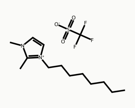 CCCCCCCC[n+]1ccn(C)c1C.O=S(=O)([O-])C(F)(F)F